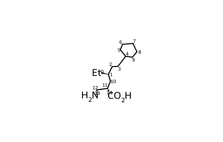 CC[C@@H](CCC1CCCCC1)C[C@H](CN)C(=O)O